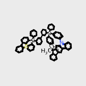 CC1(C)c2ccccc2-c2cc3c4ccccc4n(-c4cccc([Si](c5ccccc5)(c5ccccc5)c5cccc(-c6cccc([Si](c7ccccc7)(c7ccccc7)c7cccc8c7sc7ccccc78)c6)c5)c4)c3cc21